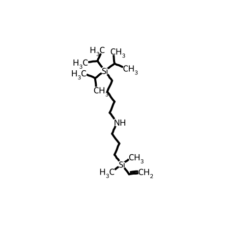 C=C[Si](C)(C)CCCNCCCC[Si](C(C)C)(C(C)C)C(C)C